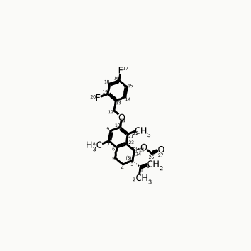 C=C(C)[C@@H]1CCc2c(C)cc(OCc3ccc(F)cc3F)c(C)c2[C@@H]1OC=O